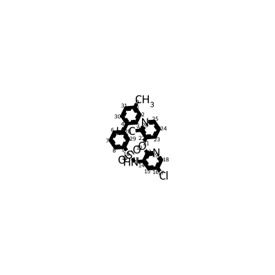 Cc1ccc(-c2cccc(S(=O)(=O)Nc3cc(Cl)cnc3Oc3cccnc3C)c2)cc1